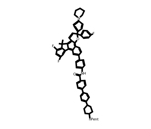 CCCCCC1CCC(c2ccc(-c3ccc(C(=O)Nc4ccc(-c5ccc6c7c(c8c(c6c5)-c5cc(F)cc(F)c5C8(C)C)C=CC(c5ccc(F)cc5)(c5ccc(N6CCCCC6)cc5)O7)cc4)cc3)cc2)CC1